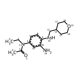 CCN(C(C)=O)c1ccc([AsH]CC2CCOCC2)c(N)c1